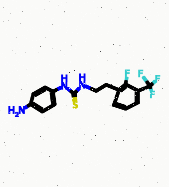 Nc1ccc(NC(=S)NCCc2cccc(C(F)(F)F)c2F)cc1